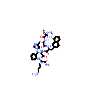 CC(C)(N)C(=O)N[C@H](Cc1c[nH]cn1)C(=O)NC(Cc1ccc2ccccc2c1)C(=O)N[C@H](Cc1ccccc1)C(=O)N[C@@H](CCCCN)C(N)=O